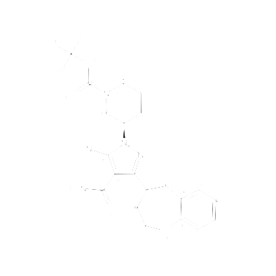 CC(C)(C)OC(=O)N1CCC[C@@H](n2nc(C3CCOc4ccccc4C3)c(C(N)=O)c2N)C1